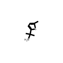 Cc1ccc(C(C)(C)N)s1